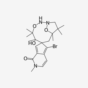 Cn1ccc2c(c1=O)=CC1(CC3(C)ON(CC3(C)C)NOC(C)(C)C1(C)O)C=2Br